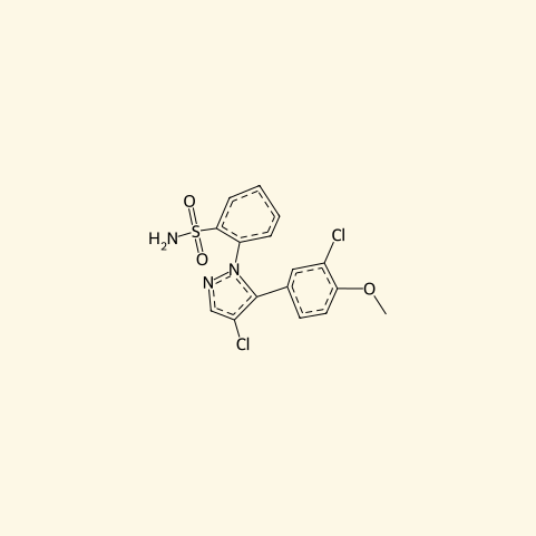 COc1ccc(-c2c(Cl)cnn2-c2ccccc2S(N)(=O)=O)cc1Cl